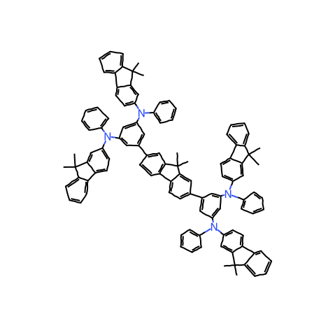 CC1(C)c2cc(-c3cc(N(c4ccccc4)c4ccc5c(c4)C(C)(C)c4ccccc4-5)cc(N(c4ccccc4)c4ccc5c(c4)C(C)(C)c4ccccc4-5)c3)ccc2-c2ccc(-c3cc(N(c4ccccc4)c4ccc5c(c4)C(C)(C)c4ccccc4-5)cc(N(c4ccccc4)c4ccc5c(c4)C(C)(C)c4ccccc4-5)c3)cc21